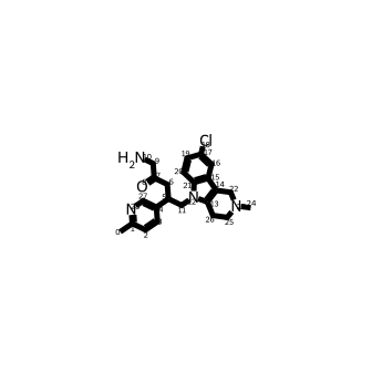 Cc1ccc(C(CC(=O)CN)Cn2c3c(c4cc(Cl)ccc42)CN(C)CC3)cn1